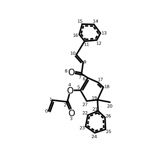 C=CC(=O)OC1=C(C(=O)C=Cc2ccccc2)C=CC(C)(c2ccccc2)C1